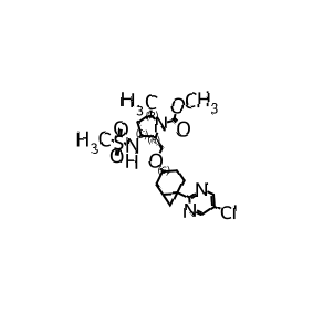 COC(=O)N1[C@H](C)C[C@H](NS(C)(=O)=O)[C@@H]1CO[C@H]1CCC2(c3ncc(Cl)cn3)CC2C1